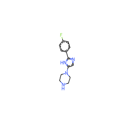 Fc1ccc(-c2ncc(N3CCNCC3)[nH]2)cc1